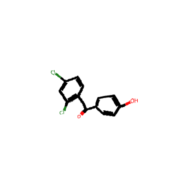 O=C(c1ccc(O)cc1)c1ccc(Cl)cc1Cl